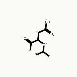 CC(=O)C(CC(=O)O)OC(C)C